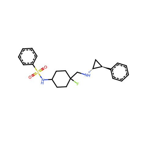 O=S(=O)(NC1CCC(F)(CN[C@@H]2C[C@H]2c2ccccc2)CC1)c1ccccc1